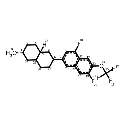 C[C@@H]1CC[C@@H]2CC(c3cc(F)c4cc(OC(F)(F)F)c(F)cc4c3)CCC2C1